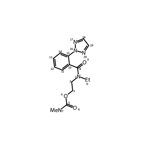 CCN(CCOC(=O)NC)C(=O)c1ccccc1-n1nccn1